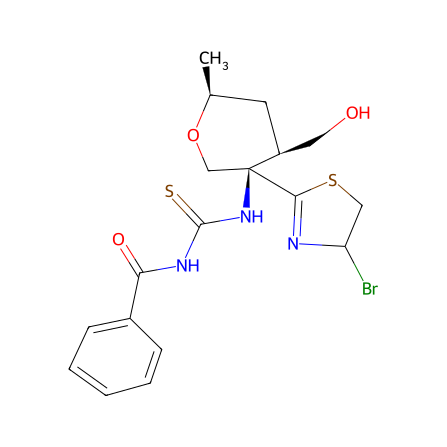 C[C@H]1C[C@@H](CO)[C@](NC(=S)NC(=O)c2ccccc2)(C2=NC(Br)CS2)CO1